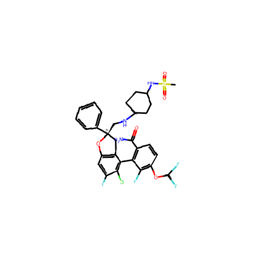 CS(=O)(=O)NC1CCC(NC[C@@]2(c3ccccc3)Cc3c(cc(F)c(Cl)c3-c3c(C(N)=O)ccc(OC(F)F)c3F)O2)CC1